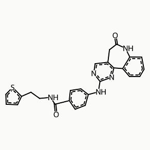 O=C1Cc2cnc(Nc3ccc(C(=O)NCCc4cccs4)cc3)nc2-c2ccccc2N1